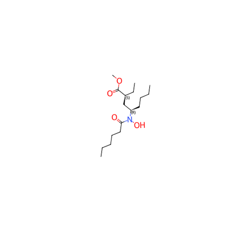 CCCCCC(=O)N(O)[C@H](CCCC)C[C@H](CC)C(=O)OC